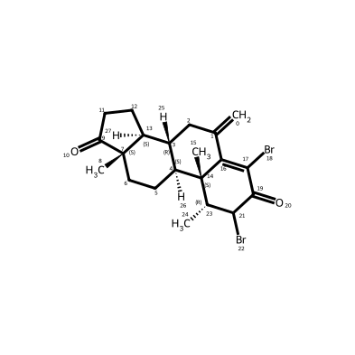 C=C1C[C@@H]2[C@H](CC[C@]3(C)C(=O)CC[C@@H]23)[C@]2(C)C1=C(Br)C(=O)C(Br)[C@@H]2C